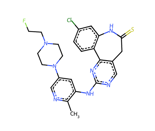 Cc1ncc(N2CCN(CCF)CC2)cc1Nc1ncc2c(n1)-c1ccc(Cl)cc1NC(=S)C2